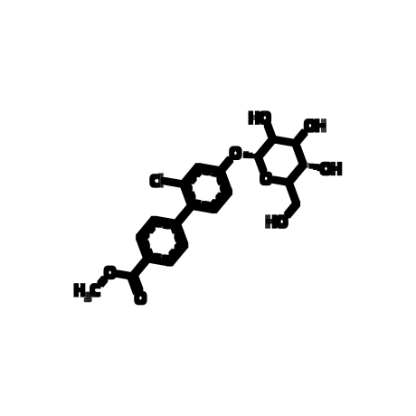 COC(=O)c1ccc(-c2ccc(O[C@H]3OC(CO)[C@@H](O)C(O)C3O)cc2Cl)cc1